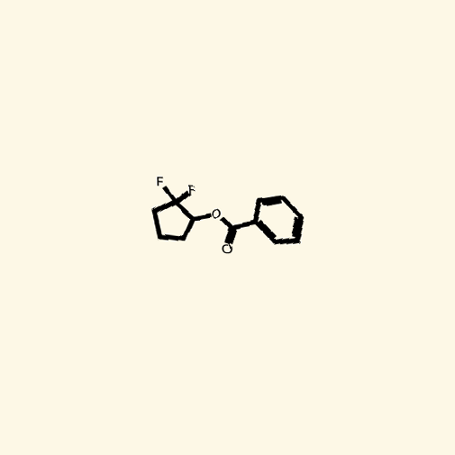 O=C(OC1CCCC1(F)F)c1ccccc1